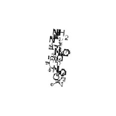 CC(C)(C)OC(=O)N1CCC[C@@]2(C1)CN(c1ccc(N)nc1)C(=O)O2